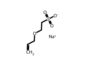 C=CCOCCS(=O)(=O)[O-].[Na+]